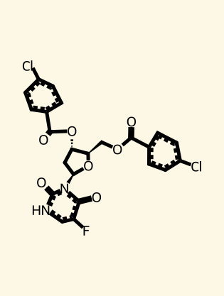 O=C(OC[C@H]1O[C@@H](n2c(=O)[nH]cc(F)c2=O)C[C@@H]1OC(=O)c1ccc(Cl)cc1)c1ccc(Cl)cc1